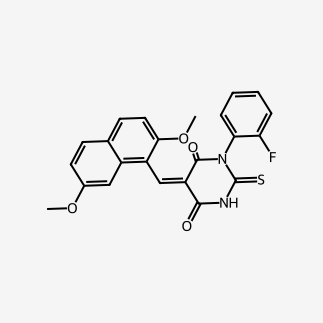 COc1ccc2ccc(OC)c(/C=C3/C(=O)NC(=S)N(c4ccccc4F)C3=O)c2c1